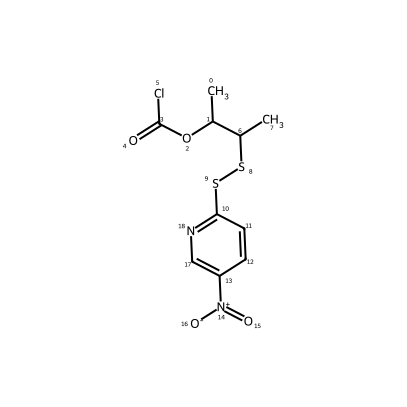 CC(OC(=O)Cl)C(C)SSc1ccc([N+](=O)[O-])cn1